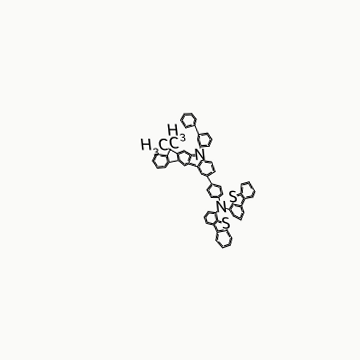 CC1(C)c2ccccc2-c2cc3c4cc(-c5ccc(N(c6cccc7c6sc6ccccc67)c6cccc7c6sc6ccccc67)cc5)ccc4n(-c4cccc(-c5ccccc5)c4)c3cc21